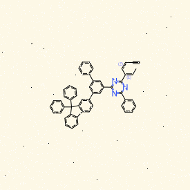 C#C/C=C\C(=C/C)c1nc(-c2ccccc2)nc(-c2cc(-c3ccccc3)cc(-c3ccc4c(c3)C(c3ccccc3)(c3ccccc3)c3ccccc3-4)c2)n1